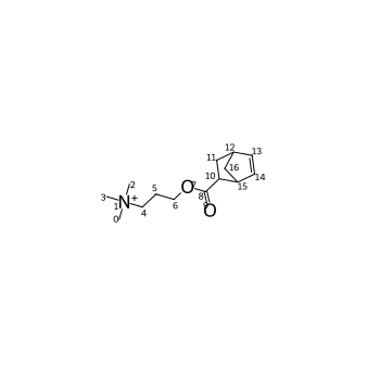 C[N+](C)(C)CCCOC(=O)C1CC2C=CC1C2